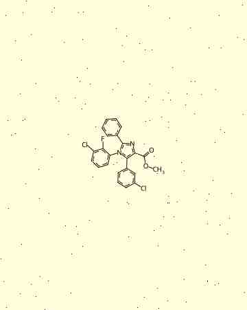 COC(=O)c1nc(-c2ccccc2)n(-c2cccc(Cl)c2F)c1-c1cccc(Cl)c1